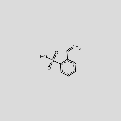 C=Cc1ncccc1S(=O)(=O)O